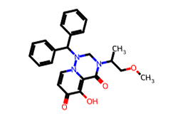 COCC(C)N1CN(C(c2ccccc2)c2ccccc2)n2ccc(=O)c(O)c2C1=O